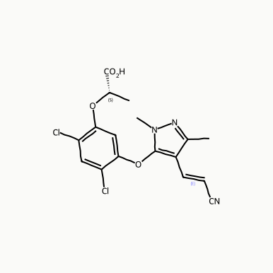 Cc1nn(C)c(Oc2cc(O[C@@H](C)C(=O)O)c(Cl)cc2Cl)c1/C=C/C#N